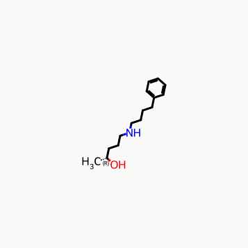 C[C@@H](O)CCCNCCCCc1ccccc1